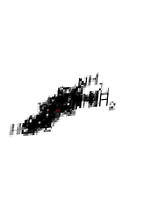 CSCC[C@H](NC(=O)[C@H](CCCCN)NC(=O)[C@@H](N)CCCNC(=N)N)C(=O)N[C@@H](Cc1ccccc1)C(=O)N[C@@H](Cc1ccccc1)C(=O)N1CCC[C@H]1C(=O)N1CCC[C@H]1C(=O)N[C@@H](Cc1c[nH]c2ccccc12)C(=O)N[C@H](C(=O)O)C(C)C